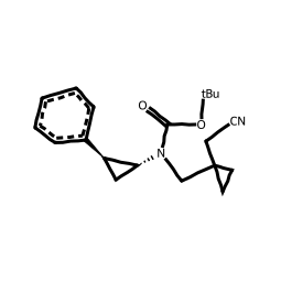 CC(C)(C)OC(=O)N(CC1(CC#N)CC1)[C@@H]1C[C@H]1c1ccccc1